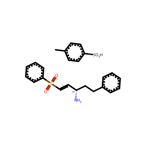 Cc1ccc(S(=O)(=O)O)cc1.N[C@H](/C=C/S(=O)(=O)c1ccccc1)CCc1ccccc1